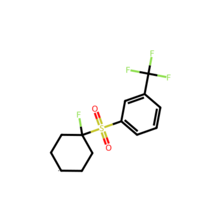 O=S(=O)(c1cccc(C(F)(F)F)c1)C1(F)CC[CH]CC1